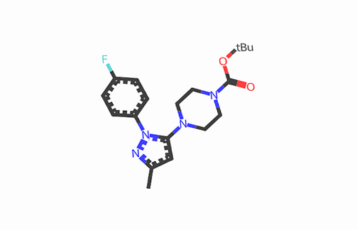 Cc1cc(N2CCN(C(=O)OC(C)(C)C)CC2)n(-c2ccc(F)cc2)n1